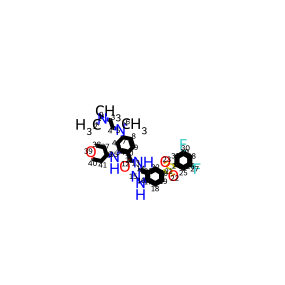 CN(C)CCN(C)C1C=CC(C(=O)Nc2n[nH]c3ccc(S(=O)(=O)c4cc(F)cc(F)c4)cc23)=C(NC2CCOCC2)C1